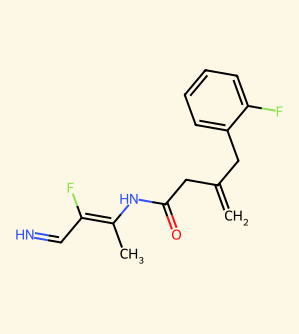 C=C(CC(=O)N/C(C)=C(\F)C=N)Cc1ccccc1F